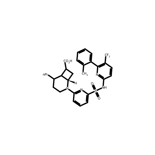 CCCC1CCN(c2cccc(S(=O)(=O)Nc3ccc(C(F)(F)F)c(-c4ccccc4C)n3)n2)[C@H]2CC(C(=O)O)C12